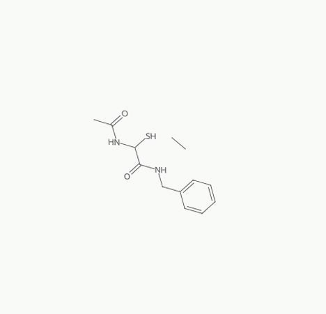 CC.CC(=O)NC(S)C(=O)NCc1ccccc1